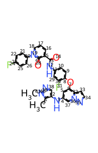 Cc1c(Nc2cc(Oc3ccc(NC(=O)c4cccn(-c5ccc(F)cc5)c4=O)cc3F)c3ccnn3c2)cnn1C